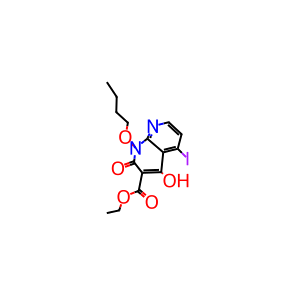 CCCCOn1c(=O)c(C(=O)OCC)c(O)c2c(I)ccnc21